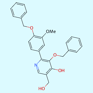 COc1cc(-c2ncc(CO)c(O)c2OCc2ccccc2)ccc1OCc1ccccc1